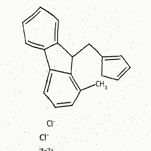 Cc1cccc2c1C(CC1=CC=CC1)c1ccccc1-2.[Cl-].[Cl-].[Zr+2]